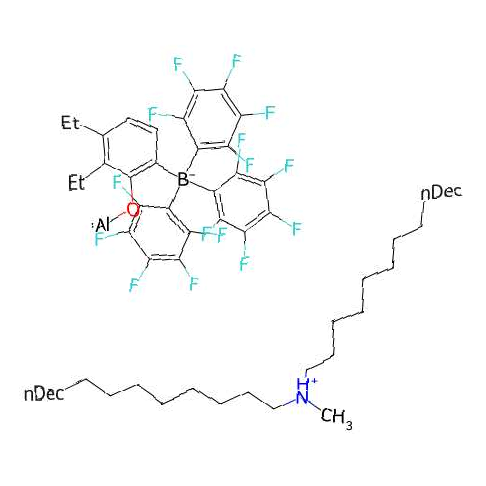 CCCCCCCCCCCCCCCCCC[NH+](C)CCCCCCCCCCCCCCCCCC.CCc1ccc([B-](c2c(F)c(F)c(F)c(F)c2F)(c2c(F)c(F)c(F)c(F)c2F)c2c(F)c(F)c(F)c(F)c2F)c([O][Al])c1CC